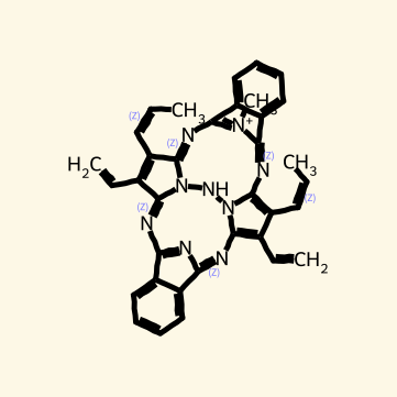 C=Cc1c(/C=C\C)c2n3c1/N=C1N=C(/N=c4/c(C=C)c(/C=C\C)/c(n4N3)=N/C3=[N+](C)C(=N\2)/c2ccccc23)c2ccccc2\1